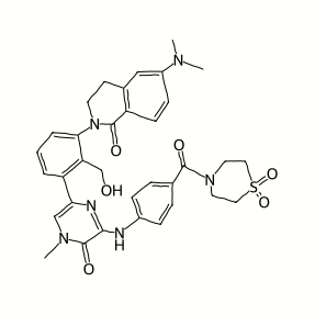 CN(C)c1ccc2c(c1)CCN(c1cccc(-c3cn(C)c(=O)c(Nc4ccc(C(=O)N5CCS(=O)(=O)CC5)cc4)n3)c1CO)C2=O